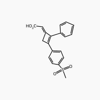 CS(=O)(=O)c1ccc(C2=C(c3ccccc3)/C(=C/C(=O)O)C2)cc1